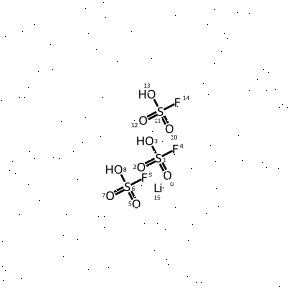 O=S(=O)(O)F.O=S(=O)(O)F.O=S(=O)(O)F.[Li]